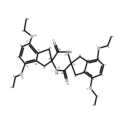 CCOc1ccc(OCC)c2c1CC1(C2)NC(=O)C2(Cc3c(OCC)ccc(OCC)c3C2)NC1=O